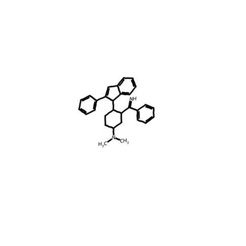 CN(C)C1CCC(C2C(c3ccccc3)=Cc3ccccc32)C(C(=N)c2ccccc2)C1